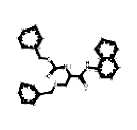 O=C(NC(CSCc1ccccc1)C(=O)Nc1cccc2ccccc12)OCc1ccccc1